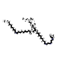 CC/C=C\C/C=C\C/C=C\CCCCCCCCOC(CNC(=O)OCCN(C)C)COC(=O)CCCCCCC/C=C\CCCCCCCC